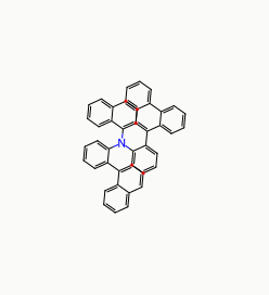 c1ccc(N(c2ccccc2-c2cc3ccccc3c3ccccc23)c2cccc3ccccc23)c(-c2cccc3ccccc23)c1